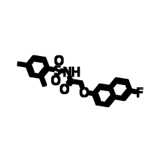 Cc1ccc(S(=O)(=O)NC(=O)COc2ccc3cc(F)ccc3c2)c(C)c1